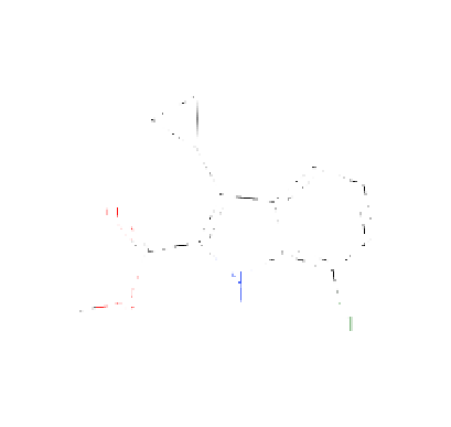 COC(=O)c1[nH]c2c(Cl)cccc2c1C1CC1